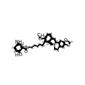 COc1ccc2cc3[n+](cc2c1CCCCCNC(=O)c1cc(N)ccc1O)CCc1cc2c(cc1-3)OCO2